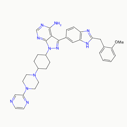 COc1ccccc1Cc1nc2ccc(-c3nn(C4CCC(N5CCN(c6cnccn6)CC5)CC4)c4ncnc(N)c34)cc2[nH]1